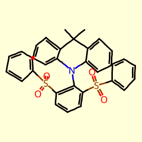 CC1(C)c2ccccc2N(c2c(S(=O)(=O)c3ccccc3)cccc2S(=O)(=O)c2ccccc2)c2ccccc21